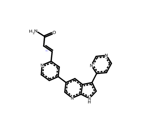 NC(=O)/C=C/c1cc(-c2cnc3[nH]cc(-c4ccncn4)c3c2)ccn1